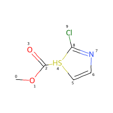 COC(=O)[SH]1C=CN=C1Cl